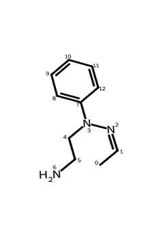 C/C=N\N(CCN)c1ccccc1